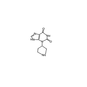 O=c1[nH]c(=O)n(C2CCNCC2)c2[nH]cnc12